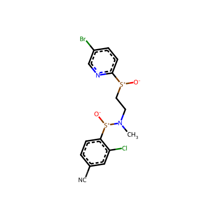 CN(CC[S+]([O-])c1ccc(Br)cn1)[S+]([O-])c1ccc(C#N)cc1Cl